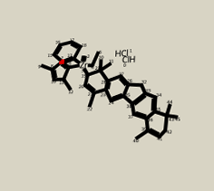 Cl.Cl.[CH2]=[Zr]([CH2]C)([C]1=CC(C)=CC1C)([c]1ccccc1)[CH]1C=C(C)c2cc3c(cc2C1(C)C)Cc1cc2c(cc1-3)C(C)=CCC2(C)C